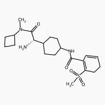 CN(C(=O)[C@@H](N)C1CCC(NC(=O)C2=C(S(C)(=O)=O)CCC=C2)CC1)C1CCC1